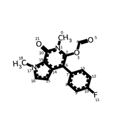 Cn1c(OC=O)c(-c2ccc(F)cc2)c2ccn(C)c2c1=O